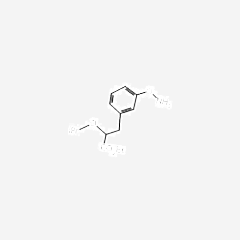 CCOC(=O)C(Cc1cccc(ON)c1)OC(C)C